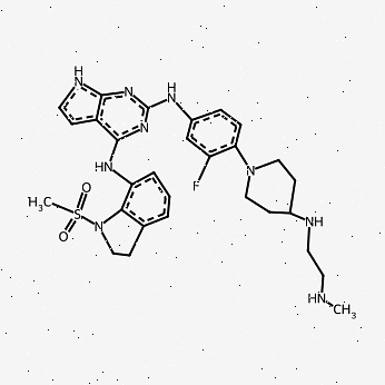 CNCCNC1CCN(c2ccc(Nc3nc(Nc4cccc5c4N(S(C)(=O)=O)CC5)c4cc[nH]c4n3)cc2F)CC1